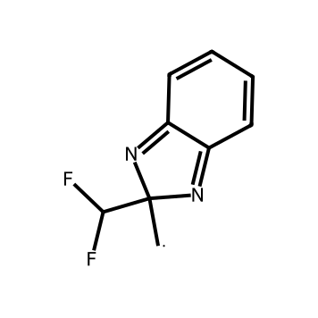 [CH2]C1(C(F)F)N=c2ccccc2=N1